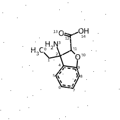 CCC1(N)c2ccccc2OC1C(=O)O